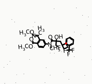 CON=C(C)c1cc(N(C)C(=O)C(O)(CF)CC2(c3ccccc3C(F)(F)F)CCC2)ccc1C(=O)OC